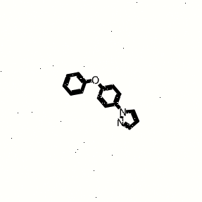 c1ccc(Oc2ccc(-n3cccn3)cc2)cc1